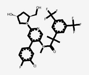 CN(C(=O)C(C)(C)c1cc(C(F)(F)F)cc(C(F)(F)F)c1)c1cnc(N2C[C@H](O)C[C@H]2CO)cc1-c1ccc(F)c(Cl)c1